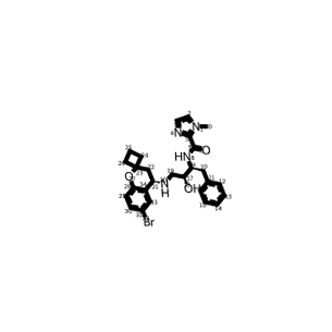 Cn1ccnc1C(=O)N[C@@H](Cc1ccccc1)[C@@H](O)CN[C@H]1CC2(CCC2)Oc2ccc(Br)cc21